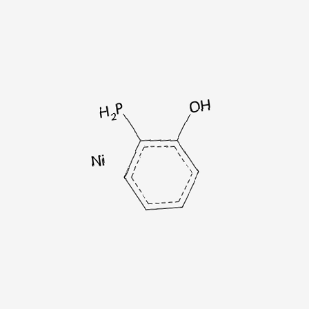 Oc1ccccc1P.[Ni]